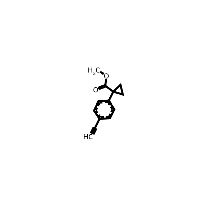 C#Cc1ccc(C2(C(=O)OC)CC2)cc1